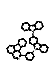 c1cc(-c2ncc3cccc4c3c2-c2ccccc2-4)cc(-n2c3ccccc3c3cc(-n4c5ccccc5c5ccccc54)ccc32)c1